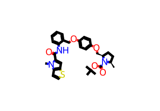 C[C@@H]1CC[C@H](COc2ccc(OCc3ccccc3NC(=O)c3cc4sccc4n3C)cc2)N1C(=O)OC(C)(C)C